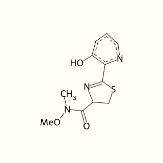 CON(C)C(=O)C1CSC(c2ncccc2O)=N1